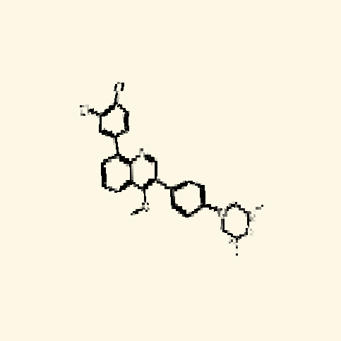 COc1c(-c2ccc(N3C[C@@H](C)O[C@@H](C)C3)cc2)cnc2c(-c3ccc(Cl)c(Cl)c3)cccc12